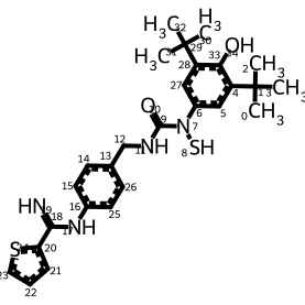 CC(C)(C)c1cc(N(S)C(=O)NCc2ccc(NC(=N)c3cccs3)cc2)cc(C(C)(C)C)c1O